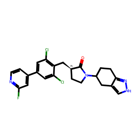 O=C1[C@H](Cc2c(Cl)cc(-c3ccnc(F)c3)cc2Cl)CCN1C1CCc2n[nH]cc2C1